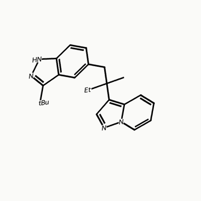 CCC(C)(Cc1ccc2[nH]nc(C(C)(C)C)c2c1)c1cnn2ccccc12